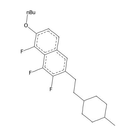 CCCCOc1ccc2cc(CCC3CCC(C)CC3)c(F)c(F)c2c1F